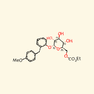 CCOC(=O)OC[C@H]1O[C@H](Oc2ccccc2Cc2ccc(OC)cc2)[C@H](O)[C@@H](O)[C@@H]1O